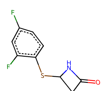 O=C1CC(Sc2ccc(F)cc2F)N1